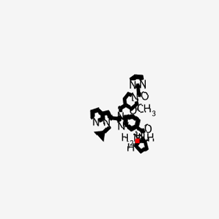 COc1cc(C(=O)N2C[C@H]3CC[C@@H]2[C@@H]3N)cc2nc(-c3cc4cccnc4n3CC3CC3)n(CC3CCN(C(=O)c4ncccn4)CC3)c12